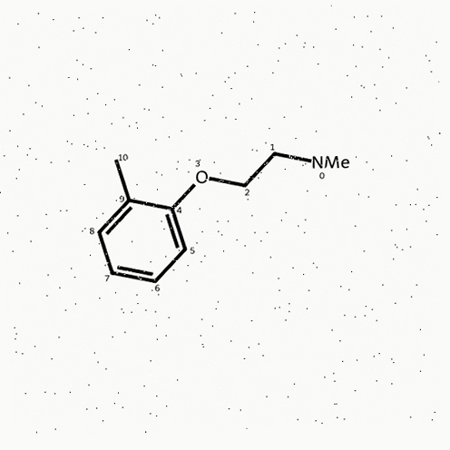 CNCCOc1ccccc1C